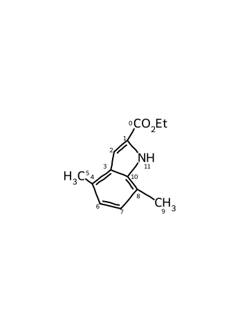 CCOC(=O)c1cc2c(C)ccc(C)c2[nH]1